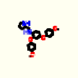 COc1ccc(Oc2ccc(NCC3CCCN3)c(Oc3ccc(OC)cc3)c2)cc1